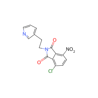 O=C1c2c(Cl)ccc([N+](=O)[O-])c2C(=O)N1CCc1cccnc1